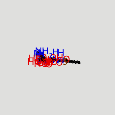 CCCCCCCCCCC(=O)SCCNC(=O)CCNC(=O)[C@H](O)C(C)(C)COP(=O)(O)OP(=O)(O)OC[C@H]1O[C@@H](n2cnc3c(N)ncnc32)[C@H](O)[C@@H]1OP(=O)(O)O